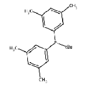 Cc1cc(C)cc(P(c2cc(C)cc(C)c2)C(C)(C)C)c1